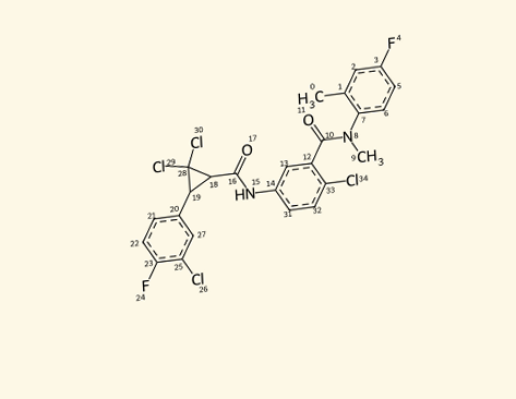 Cc1cc(F)ccc1N(C)C(=O)c1cc(NC(=O)C2C(c3ccc(F)c(Cl)c3)C2(Cl)Cl)ccc1Cl